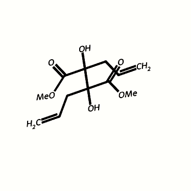 C=CCC(O)(C(=O)OC)C(O)(CC=C)C(=O)OC